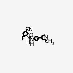 Cc1cc(-c2ccc(NC(=O)Nc3cc(C#N)ccc3F)cc2)ccn1